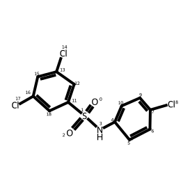 O=S(=O)(Nc1[c]cc(Cl)cc1)c1cc(Cl)cc(Cl)c1